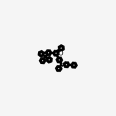 c1ccc(-c2ccc(N(c3ccccc3)c3ccc(-c4cc(-c5ccc6c(c5)C(c5ccccc5)(c5ccccc5)c5ccccc5-6)cc5c4oc4ccccc45)cc3)cc2)cc1